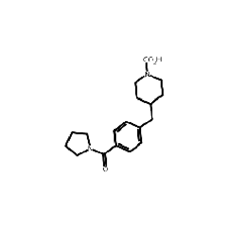 O=C(O)N1CCC(Cc2ccc(C(=O)N3CCCC3)cc2)CC1